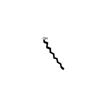 C=CCCCCCCC=CC=CO